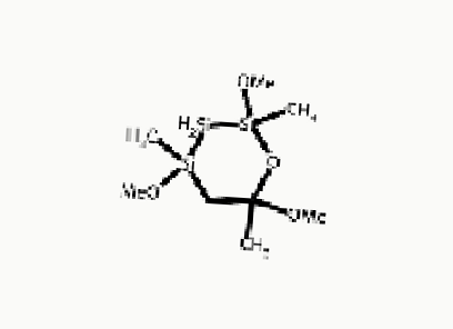 COC1(C)C[Si](C)(OC)[SiH2][Si](C)(OC)O1